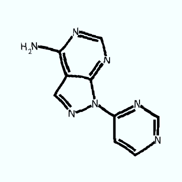 Nc1ncnc2c1cnn2-c1ccncn1